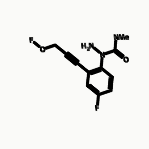 CNC(=O)N(N)c1ccc(F)cc1C#CCOF